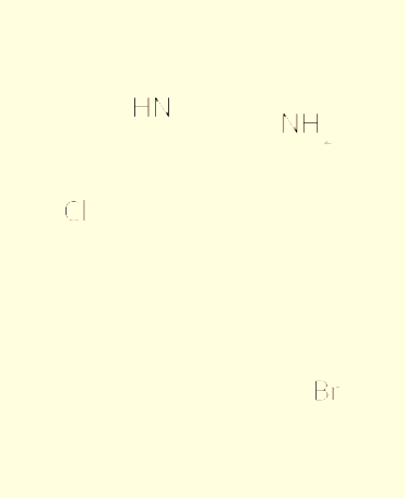 N=C(N)c1cc(Br)ccc1Cl